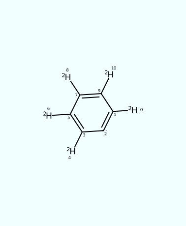 [2H]c1[c]c([2H])c([2H])c([2H])c1[2H]